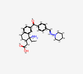 CCC1(N)c2cc(C(=O)c3ccc(C=NN4CCCCC4)cc3)ccc2CCC1CC(=O)O